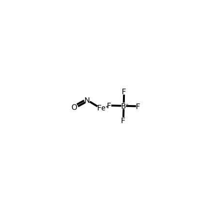 F[B-](F)(F)F.O=[N][Fe+]